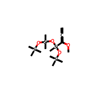 C=C=C(OC)[Si](C)(O[Si](C)(C)C)O[Si](C)(C)O[Si](C)(C)C